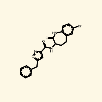 O=C(NC1CCc2cc(Br)ccc2NC1=O)c1cc(Cc2ccccc2)on1